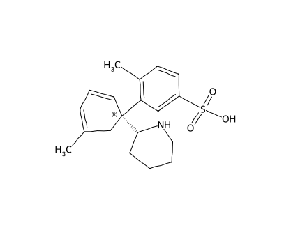 CC1=CC=C[C@](c2cc(S(=O)(=O)O)ccc2C)(C2CCCCN2)C1